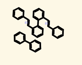 C(=C\c1ccccc1-c1ccccc1/C=C/c1ccccc1)/c1ccccc1.c1ccc(-c2ccccc2)cc1